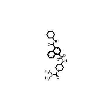 CN(C)C(=O)N1CCC(NS(=O)(=O)c2ccc(C(=O)NC3CCCCC3)c3ccccc23)CC1